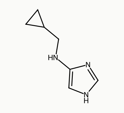 c1nc(NCC2CC2)c[nH]1